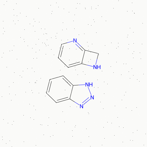 c1ccc2[nH]nnc2c1.c1cnc2c(c1)NC2